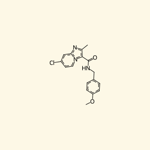 COc1ccc(CNC(=O)c2c(C)nc3cc(Cl)ccn23)cc1